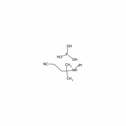 CC(C)NC(C)(C)CCC#N.OP(O)O